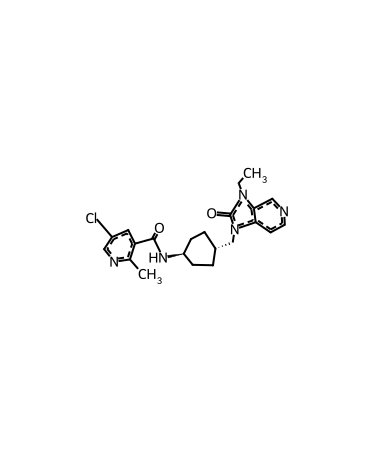 CCn1c(=O)n(C[C@H]2CC[C@H](NC(=O)c3cc(Cl)cnc3C)CC2)c2ccncc21